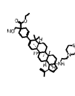 C=C(C)[C@@H]1CC[C@]2(NCCN3CCSCC3)CC[C@]3(C)[C@H](CC[C@@H]4[C@@]5(C)CC=C(C6=CCC(CO)(C(=O)OCC)CC6)C(C)(C)[C@@H]5CC[C@]43C)[C@@H]12